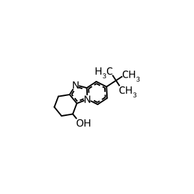 CC(C)(C)c1ccn2c3c(nc2c1)CCCC3O